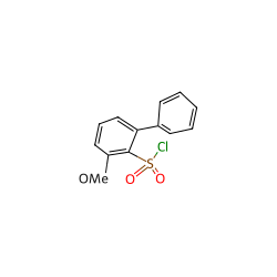 COc1cccc(-c2ccccc2)c1S(=O)(=O)Cl